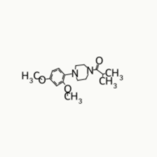 COc1ccc(N2CCN(C(=O)C(C)C)CC2)c(OC)c1